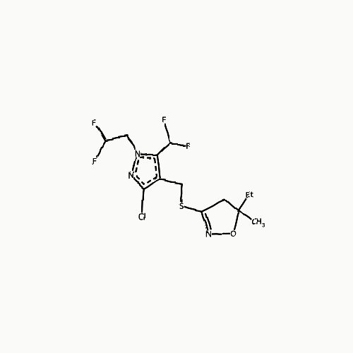 CCC1(C)CC(SCc2c(Cl)nn(CC(F)F)c2C(F)F)=NO1